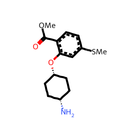 COC(=O)c1ccc(SC)cc1O[C@H]1CC[C@@H](N)CC1